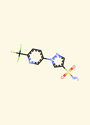 NS(=O)(=O)c1cnn(-c2ccc(C(F)(F)F)nc2)c1